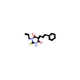 C=CCN1C(=O)/C(=C/C=C/c2ccccc2)C(=O)NC1=S